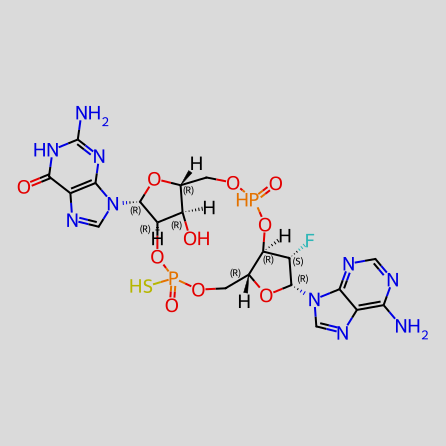 Nc1nc2c(ncn2[C@@H]2O[C@@H]3CO[PH](=O)O[C@H]4[C@H](F)[C@H](n5cnc6c(N)ncnc65)O[C@@H]4COP(=O)(S)O[C@@H]2[C@@H]3O)c(=O)[nH]1